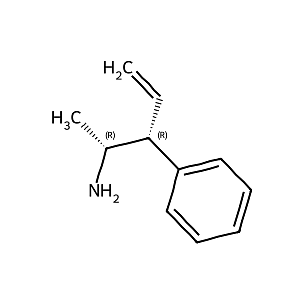 C=C[C@H](c1ccccc1)[C@@H](C)N